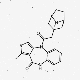 Cc1scc2c1C(=O)Nc1ccccc1N2C(=O)CC1CC2CCC(C1)N2C